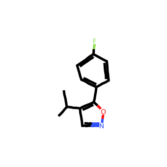 CC(C)c1cnoc1-c1ccc(F)cc1